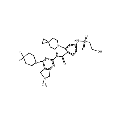 CN1Cc2nc(NC(=O)c3ccc(NS(=O)(=O)CCO)cc3N3CCC4(CC3)CC4)nc(N3CCC(F)(F)CC3)c2C1